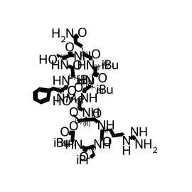 CC[C@@H](C)[C@@H](NC(=O)[C@@H](CCC(N)=O)NC(=O)[C@H](CO)NC(=O)[C@@H](NC(=O)[C@@H](Cc1ccccc1)NC)[C@@H](C)CC)C(=O)N[C@H](C(=O)N[C@@H](CO)C(=O)N[C@H]1C(=O)N[C@@H](CCCNC(=N)N)C(=O)N[C@@H](CC(C)C)C(=O)N[C@@H]([C@@H](C)CC)C(=O)O[C@H]1C)[C@@H](C)CC